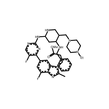 CCN1CCN(CC2CNC(Nc3ncc(F)c(-c4cc(F)c5nc(C)n(CCC(=O)OC)c5c4)n3)CC2NCc2ccccc2)CC1